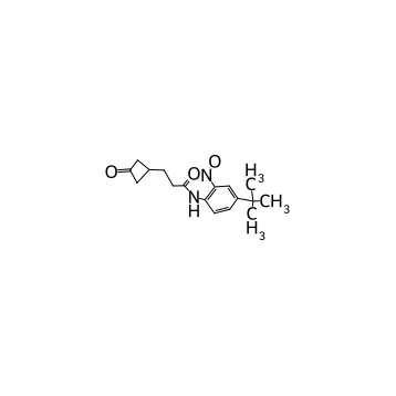 CC(C)(C)c1ccc(NC(=O)CCC2CC(=O)C2)c(N=O)c1